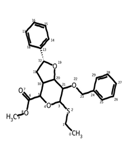 CCSC1OC(C(=O)OC)C2C[C@H](c3ccccc3)OC2C1OCc1ccccc1